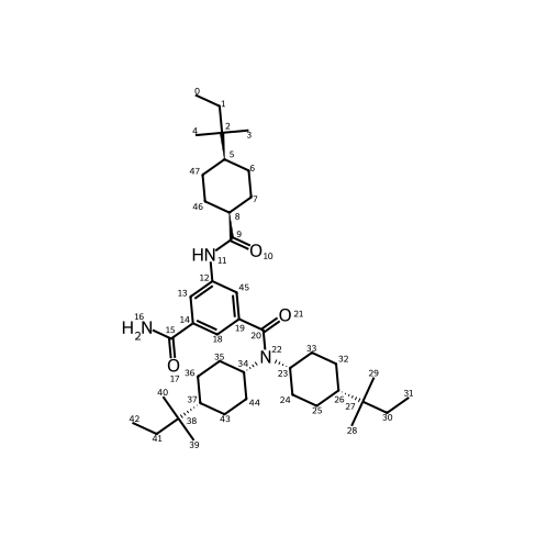 CCC(C)(C)[C@H]1CC[C@@H](C(=O)Nc2cc(C(N)=O)cc(C(=O)N([C@H]3CC[C@@H](C(C)(C)CC)CC3)[C@H]3CC[C@@H](C(C)(C)CC)CC3)c2)CC1